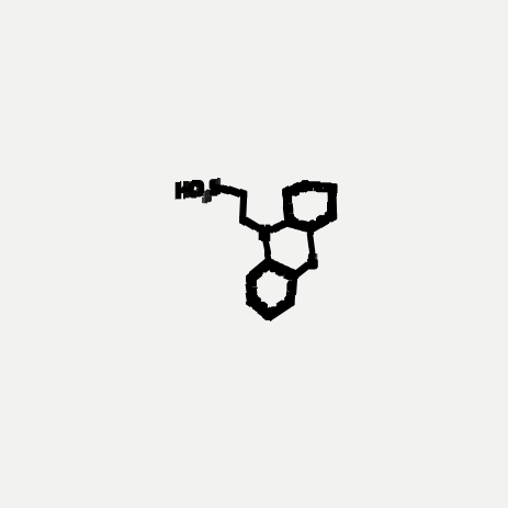 O=S(=O)(O)CCN1c2ccccc2Sc2ccccc21